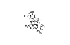 Cc1nc(N2CCCC(C)(CO)C2)c2c(C)cn(-c3c(C)cc(Br)cc3C)c2n1